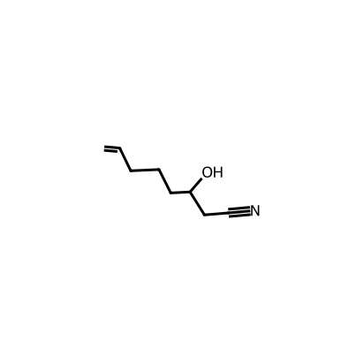 C=CCCCC(O)CC#N